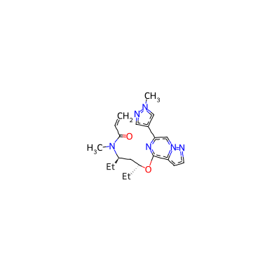 C=CC(=O)N(C)[C@H](CC)C[C@@H](CC)Oc1nc(-c2cnn(C)c2)cn2nccc12